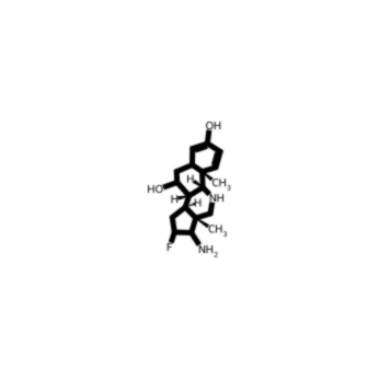 C[C@]12C=CC(O)=CC1CC(O)[C@@H]1[C@H]2NC[C@]2(C)C(N)C(F)C[C@@H]12